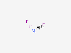 [Al+3].[I-].[I-].[I-].[N]